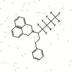 FC(F)(F)C(F)(F)C(F)(F)C(F)(F)C(CCc1ccccc1)N(Cc1ccccc1)Cc1ccccc1